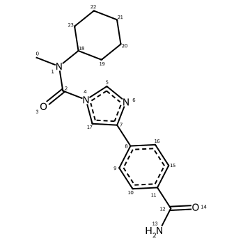 CN(C(=O)n1cnc(-c2ccc(C(N)=O)cc2)c1)C1CCCCC1